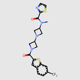 CN(C(=O)c1nccs1)C1CN(C2CN(C(=O)c3cc4ccc(C(F)(F)F)cc4s3)C2)C1